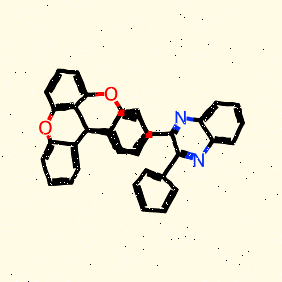 c1ccc(-c2nc3ccccc3nc2-c2ccc(C34c5ccccc5Oc5cccc(c53)Oc3ccccc34)cc2)cc1